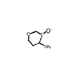 CCCC1CCOC[S+]1[O-]